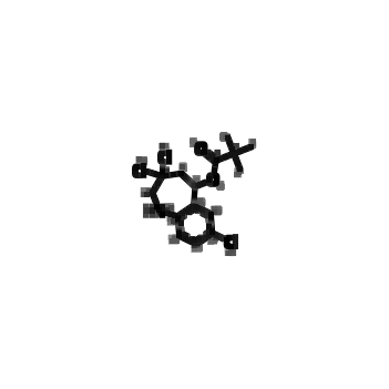 CC(C)(C)C(=O)OC1CC(Cl)(Cl)CNc2ccc(Cl)cc21